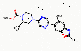 COc1cc2nc(C)oc2cc1-c1cnc(N2CCN(C(=O)OC(C)(C)C)C(C3CC3)C2)cn1